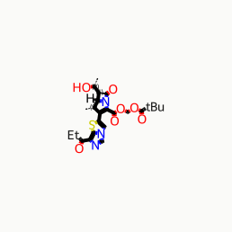 CCC(=O)c1ncn2cc(C3=C(C(=O)OCOC(=O)C(C)(C)C)N4C(=O)[C@H]([C@@H](C)O)[C@H]4[C@H]3C)sc12